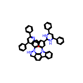 C1=C(c2ccccc2)NC(c2cc(-c3cc(-c4ccccc4)cc(-c4ccccc4)n3)cc(-n3c4ccccc4c4ccc5c(c43)N(c3ccccc3)NC5)c2)NC1c1ccccc1